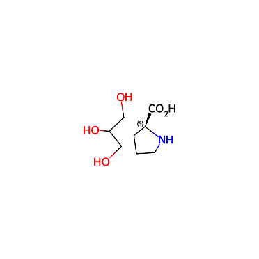 O=C(O)[C@@H]1CCCN1.OCC(O)CO